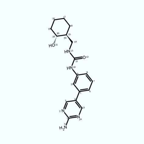 Nc1ncc(-c2cccc(NC(=O)NC[C@@H]3CCCC[C@H]3O)c2)cn1